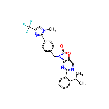 CC(C)c1ccccc1-c1ncc2oc(=O)n(Cc3ccc(-c4nc(C(F)(F)F)cn4C)cc3)c2n1